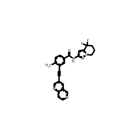 Cc1ccc(C(=O)Nc2cc3n(n2)CCCC3(F)F)cc1C#Cc1cnc2ccncc2c1